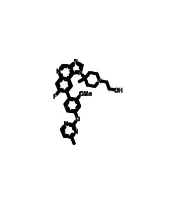 COc1cc(Oc2nccc(C)n2)ccc1-c1cc2c(cc1F)ncc1ncn(C3(C)CCN(CCO)CC3)c12